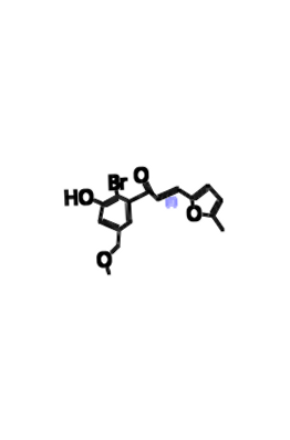 COCc1cc(O)c(Br)c(C(=O)/C=C/c2ccc(C)o2)c1